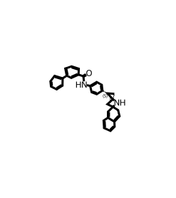 O=C(Nc1ccc([C@@H]2C[C@]23CC2(C=c4ccccc4=CC2)N3)cc1)c1cccc(-c2ccccc2)c1